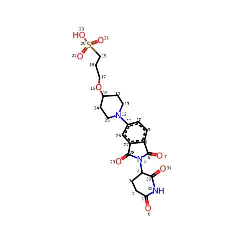 O=C1CCC(N2C(=O)c3ccc(N4CCC(OCCCS(=O)(=O)O)CC4)cc3C2=O)C(=O)N1